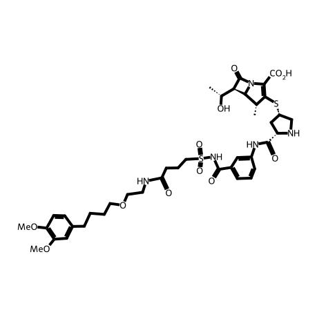 COc1ccc(CCCCOCCNC(=O)CCCS(=O)(=O)NC(=O)c2cccc(NC(=O)[C@@H]3C[C@H](SC4=C(C(=O)O)N5C(=O)[C@H]([C@@H](C)O)C5[C@H]4C)CN3)c2)cc1OC